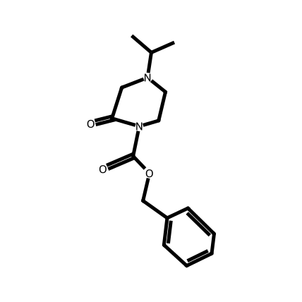 CC(C)N1CCN(C(=O)OCc2ccccc2)C(=O)C1